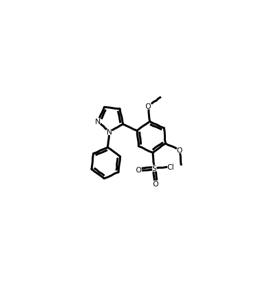 COc1cc(OC)c(S(=O)(=O)Cl)cc1-c1ccnn1-c1ccccc1